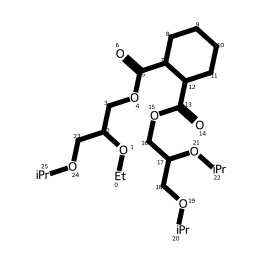 CCOC(COC(=O)C1CCCCC1C(=O)OCC(COC(C)C)OC(C)C)COC(C)C